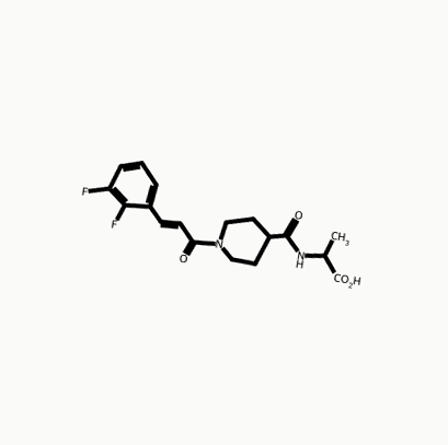 CC(NC(=O)C1CCN(C(=O)/C=C/c2cccc(F)c2F)CC1)C(=O)O